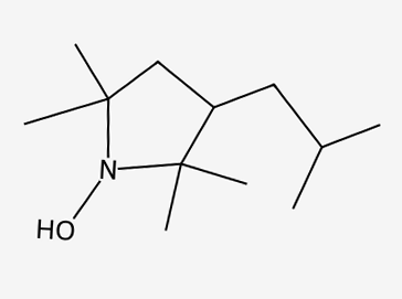 CC(C)CC1CC(C)(C)N(O)C1(C)C